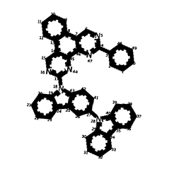 c1ccc(-c2ncc3c4ccccc4c4cnc(-n5c6ccccc6c6cc(-n7c8ccccc8c8ccccc87)ccc65)nc4c3n2)cc1